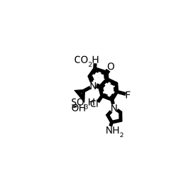 NC1CCN(c2c(F)cc3c(=O)c(C(=O)O)cn(C4CC4)c3c2Cl)C1.O=S(=O)(O)O